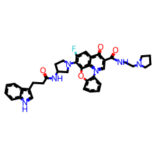 O=C(CCc1c[nH]c2ccccc12)NC1CCN(c2c(F)cc3c(=O)c(C(=O)NCCN4CCCC4)cn4c3c2Oc2ccccc2-4)C1